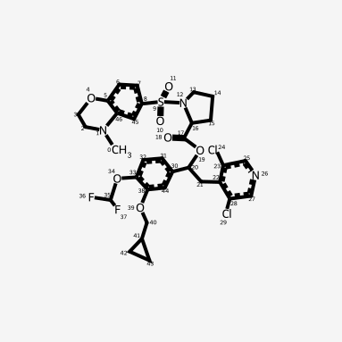 CN1CCOc2ccc(S(=O)(=O)N3CCCC3C(=O)OC(Cc3c(Cl)cncc3Cl)c3ccc(OC(F)F)c(OCC4CC4)c3)cc21